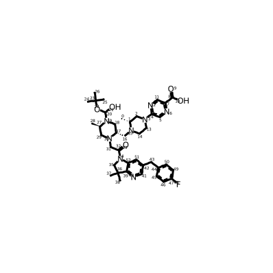 C[C@@H]1CN(c2cnc(C(=O)O)cn2)CCN1C[C@H]1CN(C(O)OC(C)(C)C)[C@H](C)CN1CC(=O)N1CC(C)(C)c2ncc(Cc3ccc(F)cc3)cc21